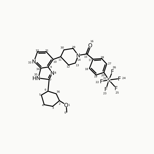 COC1CCCC(c2nc3c(C4CCN(C(=O)c5ccc(S(F)(F)(F)(F)F)cc5)CC4)ccnc3[nH]2)C1